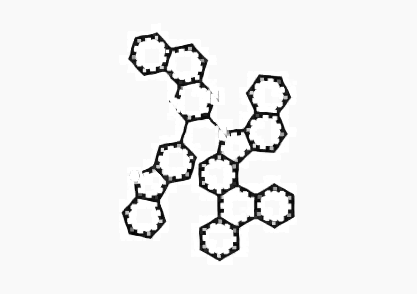 c1ccc2c(c1)ccc1nc(-n3c4ccc5c6ccccc6c6ccccc6c5c4c4ccc5ccccc5c43)c(-c3ccc4c(c3)oc3ccccc34)nc12